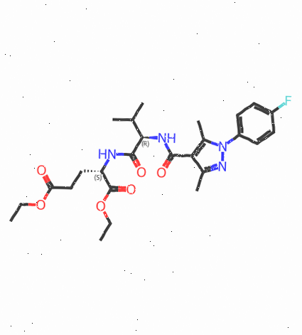 CCOC(=O)CC[C@H](NC(=O)[C@H](NC(=O)c1c(C)nn(-c2ccc(F)cc2)c1C)C(C)C)C(=O)OCC